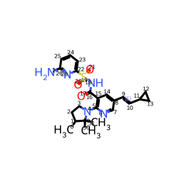 CC1CCN(c2ncc(/C=C/C3CC3)cc2C(=O)NS(=O)(=O)c2cccc(N)n2)C1(C)C